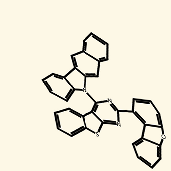 c1ccc2cc3c(cc2c1)c1ccccc1n3-c1nc(-c2cccc3oc4ccccc4c23)nc2sc3ccccc3c12